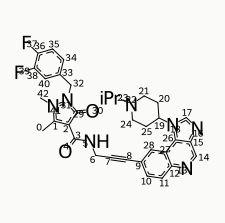 Cc1c(C(=O)NCC#Cc2ccc3ncc4ncn(C5CCN(C(C)C)CC5)c4c3c2)c(=O)n(Cc2ccc(F)c(F)c2)n1C